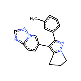 Cc1cccc(-c2nn3c(c2-c2ccc4ncnn4c2)CCC3)c1